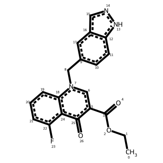 CCOC(=O)c1cn(Cc2ccc3[nH]ncc3c2)c2cccc(F)c2c1=O